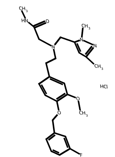 CNC(=O)CN(CCc1ccc(OCc2cccc(F)c2)c(OC)c1)Cc1cc(C)nn1C.Cl